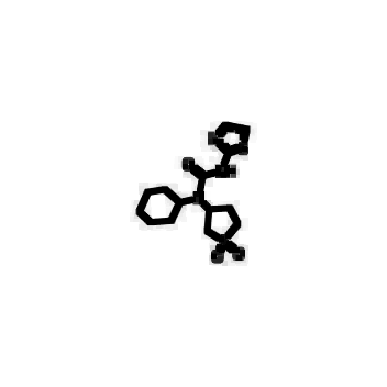 O=C(Nc1nccs1)N(C1CCCCC1)C1CCS(=O)(=O)C1